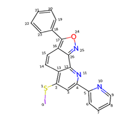 ISc1cc(-c2ccccn2)nc2c1ccc1c(-c3ccccc3)onc12